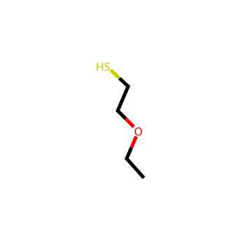 CCOCCS